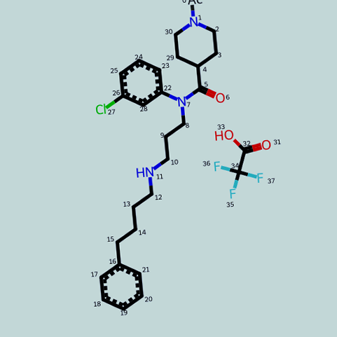 CC(=O)N1CCC(C(=O)N(CCCNCCCCc2ccccc2)c2cccc(Cl)c2)CC1.O=C(O)C(F)(F)F